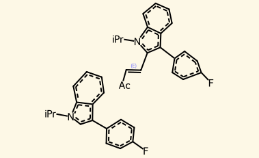 CC(=O)/C=C/c1c(-c2ccc(F)cc2)c2ccccc2n1C(C)C.CC(C)n1cc(-c2ccc(F)cc2)c2ccccc21